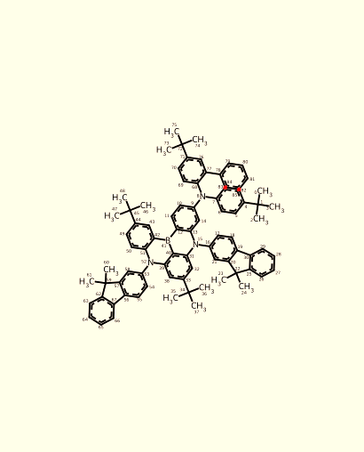 CC(C)(C)c1ccc(N(c2ccc3c(c2)N(c2ccc4c(c2)C(C)(C)c2ccccc2-4)c2cc(C(C)(C)C)cc4c2B3c2cc(C(C)(C)C)ccc2N4c2ccc3c(c2)C(C)(C)c2ccccc2-3)c2ccc(C(C)(C)C)cc2-c2ccccc2)cc1